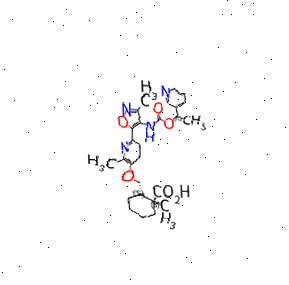 Cc1nc(-c2onc(C)c2NC(=O)O[C@H](C)c2cccnc2)ccc1OC[C@H]1CCCC[C@]1(C)C(=O)O